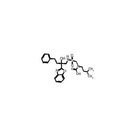 CC(C)CCN(CS(=O)(=O)NCC(O)(CCc1ccccc1)c1nc2ccccc2o1)C(=O)O